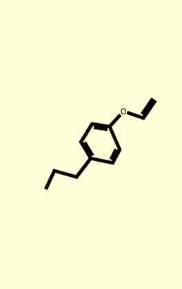 C=COc1ccc(CCC)cc1